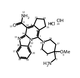 COC1(CN)CCN(c2c3c(c(C(N)=O)c4nc5ccccc5n24)CCC3)CC1.Cl.Cl